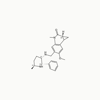 COc1cc2c(cc1CN[C@H]1CC[C@H](C)N[C@H]1c1ccccc1)N(C)C(=O)[C@@H]1CC21